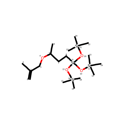 C=C(C)COC(C)CC[Si](O[Si](C)(C)C)(O[Si](C)(C)C)O[Si](C)(C)C